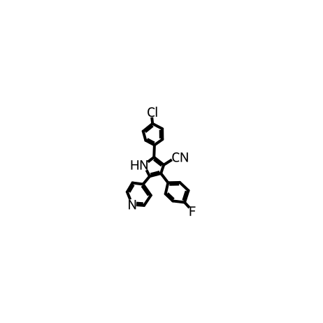 N#Cc1c(-c2ccc(Cl)cc2)[nH]c(-c2ccncc2)c1-c1ccc(F)cc1